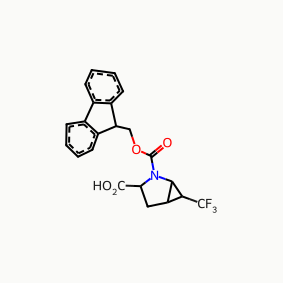 O=C(O)C1CC2C(C2C(F)(F)F)N1C(=O)OCC1c2ccccc2-c2ccccc21